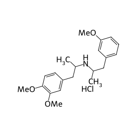 COc1cccc(CC(C)NC(C)Cc2ccc(OC)c(OC)c2)c1.Cl